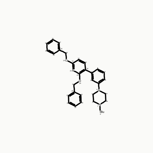 CC(C)(C)N1CCN(c2cccc(-c3ccc(OCc4ccccc4)nc3OCc3ccccc3)c2)CC1